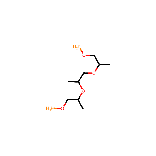 CC(COP)OCC(C)OC(C)COP